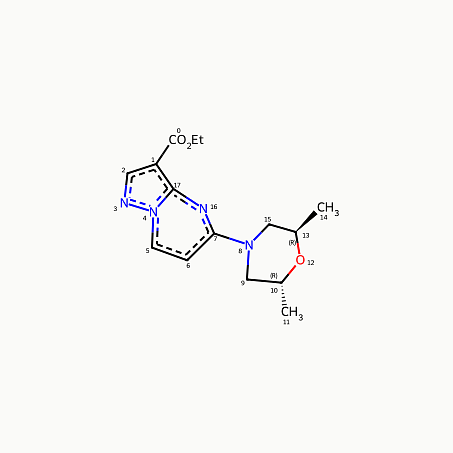 CCOC(=O)c1cnn2ccc(N3C[C@@H](C)O[C@H](C)C3)nc12